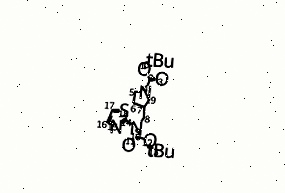 CC(C)(C)OC(=O)N1CCC(CN(C(=O)OC(C)(C)C)c2nccs2)C1